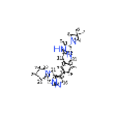 C=C(CN1CC(C)(C)C1)Nc1cc2cc(-c3cnn(C)c3CN3CCCCC3)ccc2cn1